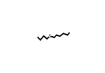 CCCCCCSCCCC